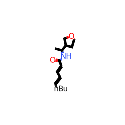 CCCC/C=C/C=C/C(=O)NC(C)C1CCOC1